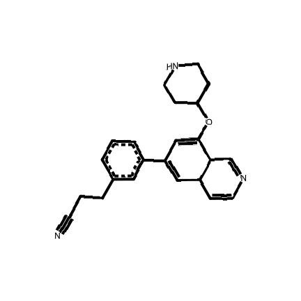 N#CCCc1cccc(C2=CC3C=CN=CC3C(OC3CCNCC3)=C2)c1